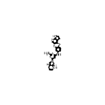 Nc1nc(Nc2ccc(Oc3ccnc4[nH]ccc34)c(F)c2)cc(N2C[C@H]3CCCN[C@H]3C2)n1